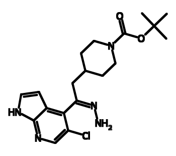 CC(C)(C)OC(=O)N1CCC(C/C(=N/N)c2c(Cl)cnc3[nH]ccc23)CC1